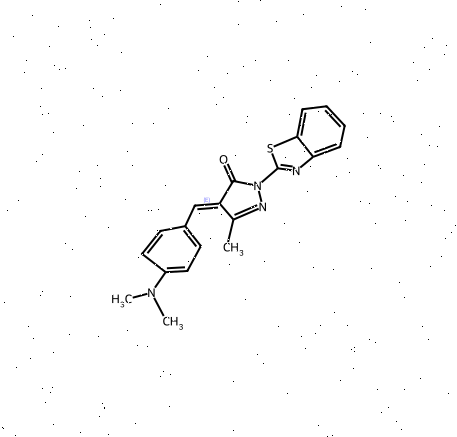 CC1=NN(c2nc3ccccc3s2)C(=O)/C1=C/c1ccc(N(C)C)cc1